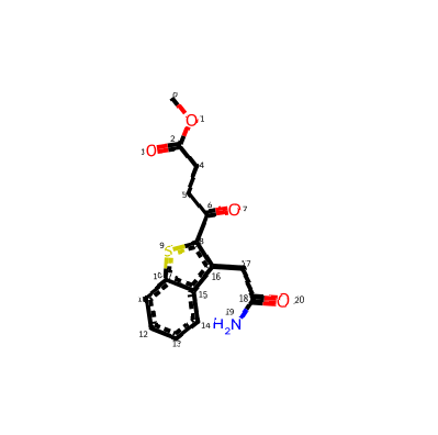 COC(=O)CCC(=O)c1sc2ccccc2c1CC(N)=O